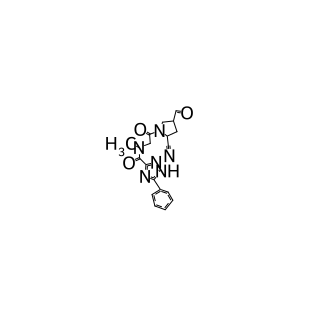 CN(CC(=O)N1CC(C=O)CC1C#N)C(=O)c1n[nH]c(-c2ccccc2)n1